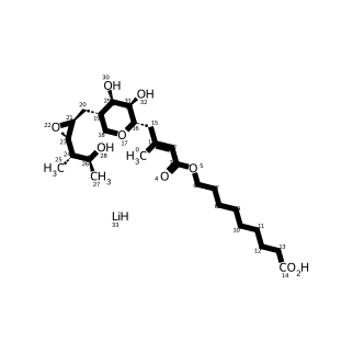 C/C(=C\C(=O)OCCCCCCCCC(=O)O)C[C@@H]1OC[C@H](C[C@@H]2O[C@H]2[C@@H](C)[C@H](C)O)[C@@H](O)[C@H]1O.[LiH]